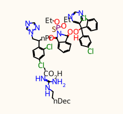 CC(=O)O.CCCC(Cn1cncn1)c1ccc(Cl)cc1Cl.CCCCCCCCCCCCNC(=N)N.CCOP(=S)(OCC)N1C(=O)c2ccccc2C1=O.OC(c1ccc(Cl)cc1)(c1cncnc1)c1ccccc1Cl